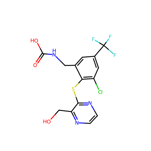 O=C(O)NCc1cc(C(F)(F)F)cc(Cl)c1Sc1nccnc1CO